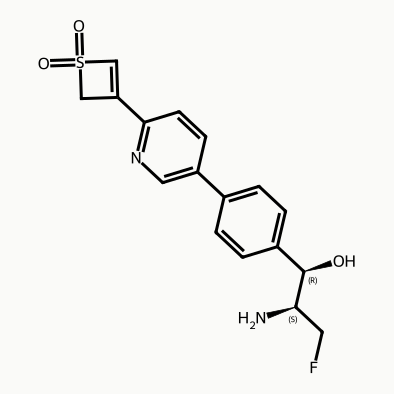 N[C@H](CF)[C@H](O)c1ccc(-c2ccc(C3=CS(=O)(=O)C3)nc2)cc1